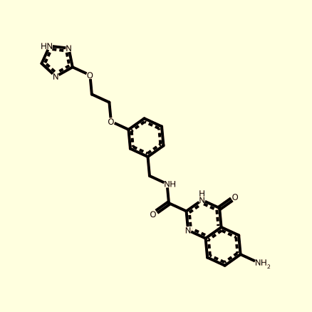 Nc1ccc2nc(C(=O)NCc3cccc(OCCOc4nc[nH]n4)c3)[nH]c(=O)c2c1